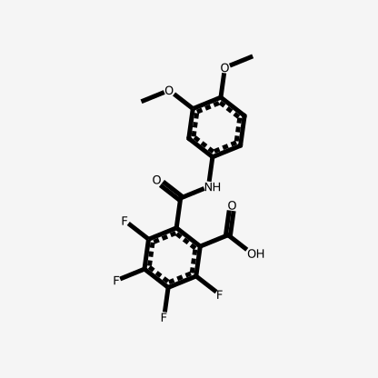 COc1ccc(NC(=O)c2c(F)c(F)c(F)c(F)c2C(=O)O)cc1OC